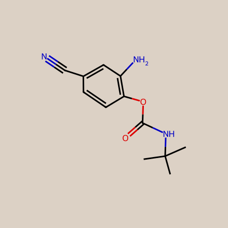 CC(C)(C)NC(=O)Oc1ccc(C#N)cc1N